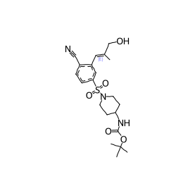 C/C(=C\c1cc(S(=O)(=O)N2CCC(NC(=O)OC(C)(C)C)CC2)ccc1C#N)CO